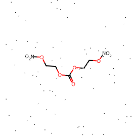 O=C(OCCO[N+](=O)[O-])OCCO[N+](=O)[O-]